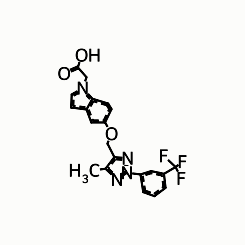 Cc1nn(-c2cccc(C(F)(F)F)c2)nc1COc1ccc2c(ccn2CC(=O)O)c1